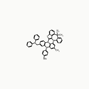 Cc1cc2c3c(c1)N1c4ccccc4C(C)(C)c4cccc5sc(c1c45)B3c1ccc(CN(c3ccccc3)c3ccccc3)cc1N2c1ccc(C(C)(C)C)cc1